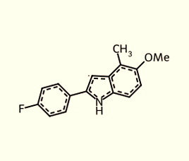 COc1ccc2[nH]c(-c3ccc(F)cc3)[c]c2c1C